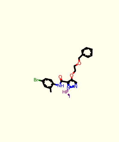 Cc1cc(Br)ccc1NC(=O)c1c(OCCOCc2ccccc2)cnn1PI